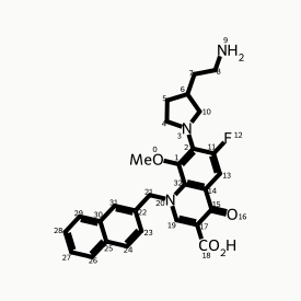 COc1c(N2CCC(CCN)C2)c(F)cc2c(=O)c(C(=O)O)cn(Cc3ccc4ccccc4c3)c12